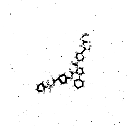 CC(C)(C)OC(=O)N[C@H](CF)[C@H]1CC[C@H](C(=O)N2CC[C@@H](C3CCCCC3)[C@H]2C(=O)Nc2ccc(C(=O)NS(=O)(=O)c3ccccn3)cc2)CC1